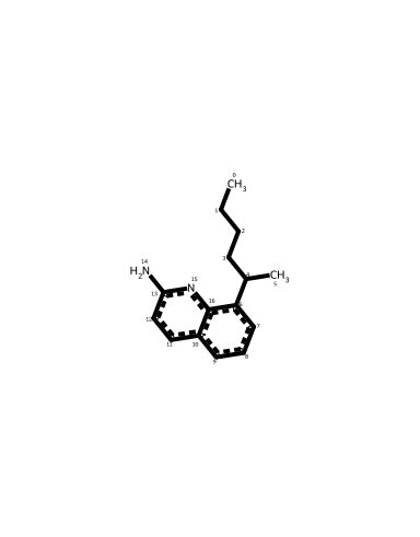 CCCCC(C)c1cccc2ccc(N)nc12